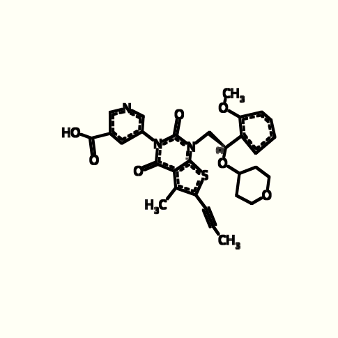 CC#Cc1sc2c(c1C)c(=O)n(-c1cncc(C(=O)O)c1)c(=O)n2C[C@H](OC1CCOCC1)c1ccccc1OC